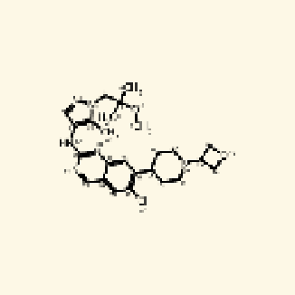 COC(C)(C)Cn1ncc(Nc2ncc3cc(Cl)c(C4CCN(C5COC5)CC4)cc3n2)c1C